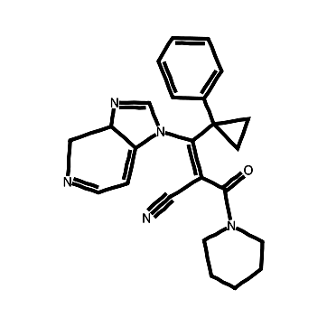 N#CC(C(=O)N1CCCCC1)=C(N1C=NC2CN=CC=C21)C1(c2ccccc2)CC1